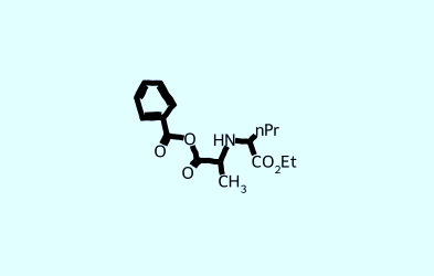 CCCC(NC(C)C(=O)OC(=O)c1ccccc1)C(=O)OCC